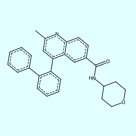 Cc1cc(-c2ccccc2-c2ccccc2)c2cc(C(=O)NC3CCOCC3)ccc2n1